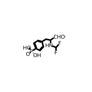 O=[C]C(Cc1ccc(P(=O)(O)O)cc1)NC(F)F